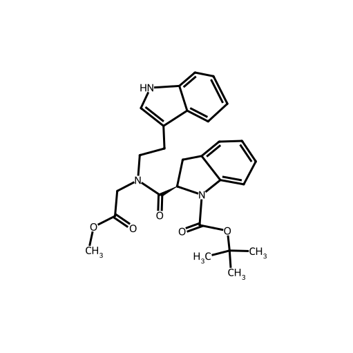 COC(=O)CN(CCc1c[nH]c2ccccc12)C(=O)[C@H]1Cc2ccccc2N1C(=O)OC(C)(C)C